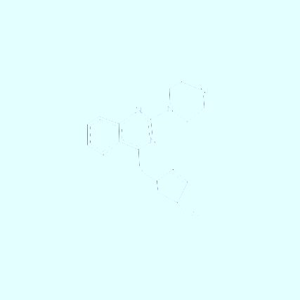 CC(=O)OC1C=CC(Oc2nc(N3CCNCC3)nc3ccccc23)C1